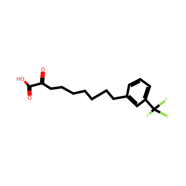 O=C(O)C(=O)CCCCCCCc1cccc(C(F)(F)F)c1